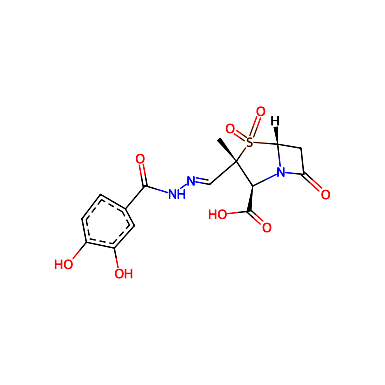 C[C@]1(/C=N/NC(=O)c2ccc(O)c(O)c2)[C@H](C(=O)O)N2C(=O)C[C@H]2S1(=O)=O